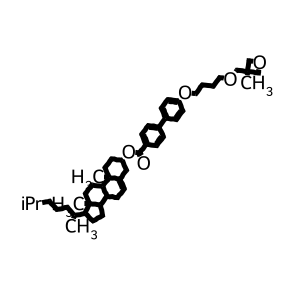 CC(C)CCCC(C)C1CCC2C3CC=C4CC(OC(=O)c5ccc(-c6ccc(OCCCCOCC7(C)COC7)cc6)cc5)CCC4(C)C3CCC12C